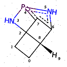 C1CC23Np4[nH]c(c42)[C@H]13